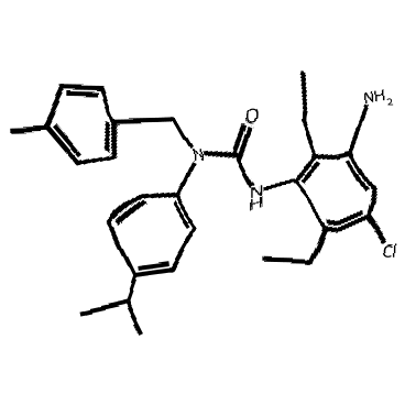 CCc1c(N)cc(Cl)c(CC)c1NC(=O)N(Cc1ccc(C)cc1)c1ccc(C(C)C)cc1